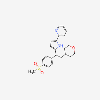 CS(=O)(=O)c1ccc(C(CC2CCOCC2)c2ccc(-c3ccccn3)[nH]2)cc1